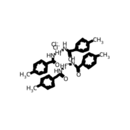 Cc1ccc(C(=O)[NH][Hf+][NH]C(=O)c2ccc(C)cc2)cc1.Cc1ccc(C(=O)[NH][Hf+][NH]C(=O)c2ccc(C)cc2)cc1.[Cl-].[Cl-]